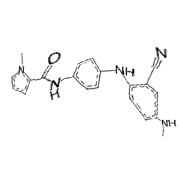 CNc1ccc(Nc2ccc(NC(=O)c3cccn3C)cc2)c(C#N)c1